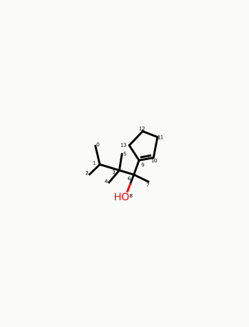 CC(C)C(C)(C)C(C)(O)C1=CCCC1